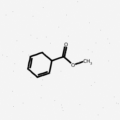 COC(=O)[C]1C=CC=CC1